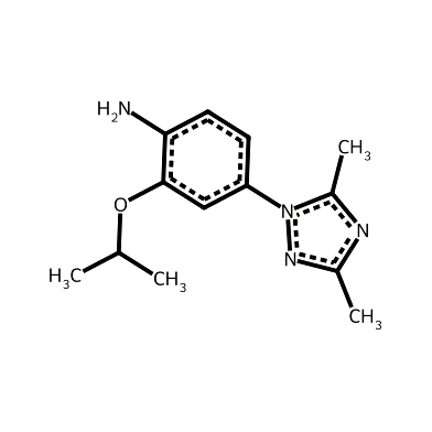 Cc1nc(C)n(-c2ccc(N)c(OC(C)C)c2)n1